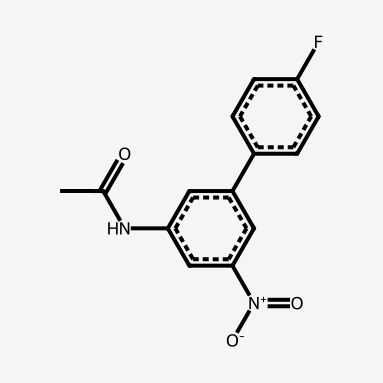 CC(=O)Nc1cc(-c2ccc(F)cc2)cc([N+](=O)[O-])c1